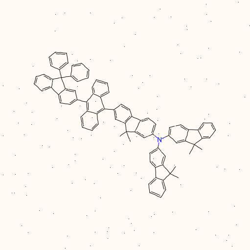 CC1(C)c2ccccc2-c2ccc(N(c3ccc4c(c3)C(C)(C)c3ccccc3-4)c3ccc4c(c3)C(C)(C)c3cc(-c5c6ccccc6c(-c6ccc7c(c6)C(c6ccccc6)(c6ccccc6)c6ccccc6-7)c6ccccc56)ccc3-4)cc21